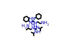 CC(N)CN/C(=N/C(C)C)NC(C)C.NCCN/C(=N/C1CCCCC1)NC1CCCCC1